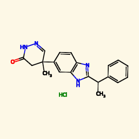 CC(c1ccccc1)c1nc2ccc(C3(C)C=NNC(=O)C3)cc2[nH]1.Cl